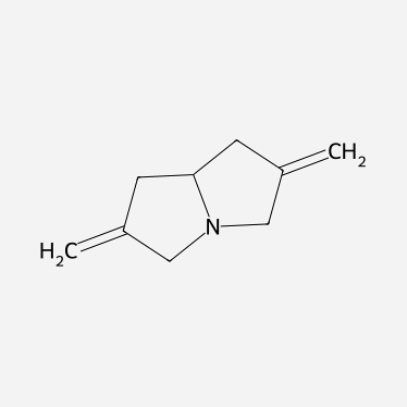 C=C1CC2CC(=C)CN2C1